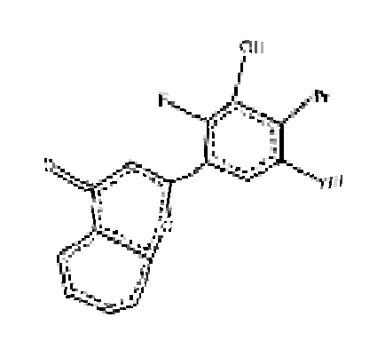 CC(C)c1c(O)cc(-c2cc(=O)c3ccccc3o2)c(F)c1O